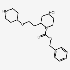 Cl.O=C(OCc1ccccc1)N1CCCCC1CCOC1CCNCC1